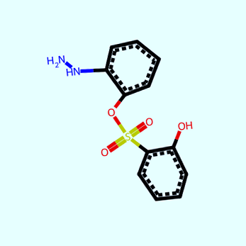 NNc1ccccc1OS(=O)(=O)c1ccccc1O